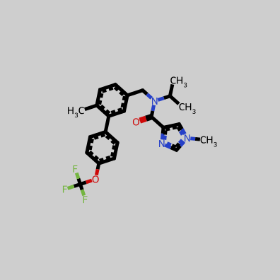 Cc1ccc(CN(C(=O)c2cn(C)cn2)C(C)C)cc1-c1ccc(OC(F)(F)F)cc1